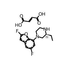 CC[C@H]1CN(c2cc(F)cc3cc(F)oc23)CCN1.O=C(O)C=CC(=O)O